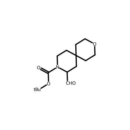 CC(C)(C)OC(=O)N1CCC2(CCOCC2)CC1C=O